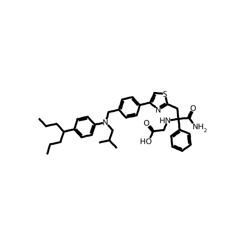 CCCC(CCC)c1ccc(N(Cc2ccc(-c3csc(CC(NCC(=O)O)(C(N)=O)c4ccccc4)n3)cc2)CC(C)C)cc1